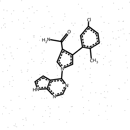 Cc1ccc(Cl)cc1-c1cn(-c2ncnc3[nH]ccc23)cc1C(N)=O